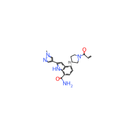 C=CC(=O)N1CC[C@@H](c2ccc(C(N)=O)c3[nH]c(-c4cnn(C)c4)cc23)C1